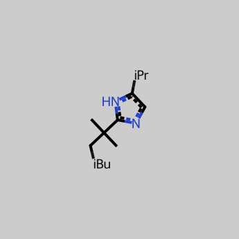 CCC(C)CC(C)(C)c1ncc(C(C)C)[nH]1